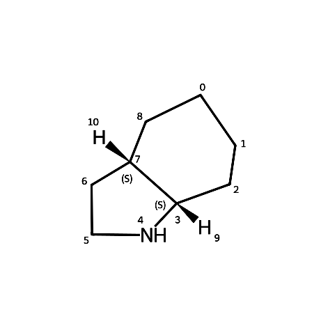 C1CC[C@@H]2NCC[C@@H]2C1